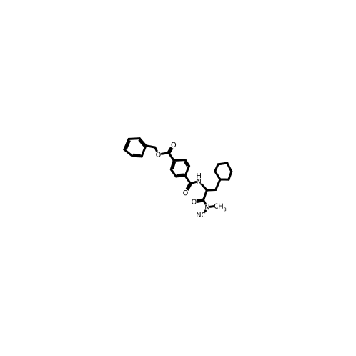 CN(C#N)C(=O)C(CC1CCCCC1)NC(=O)c1ccc(C(=O)OCc2ccccc2)cc1